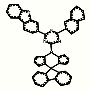 c1ccc2c(c1)-c1ccccc1C21c2ccccc2N(c2nc(-c3ccc4ccccc4c3)nc(-c3ccc4c(c3)sc3ccccc34)n2)c2ccccc21